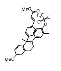 COC(=O)/C=C/c1ccc(C2(C)c3ccc(OC)cc3CCN2c2ccc(OS(=O)(=O)C(F)(F)F)c(C)c2)cc1